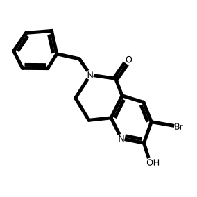 O=C1c2cc(Br)c(O)nc2CCN1Cc1ccccc1